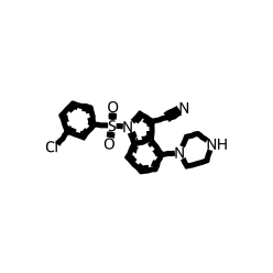 N#Cc1cn(S(=O)(=O)c2cccc(Cl)c2)c2cccc(N3CCNCC3)c12